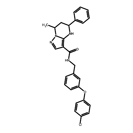 CC1CC(c2ccccc2)Nc2c(C(=O)NCc3cccc(Oc4ccc(Cl)cc4)c3)cnn21